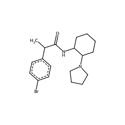 CC(C(=O)NC1CCCCC1N1CCCC1)c1ccc(Br)cc1